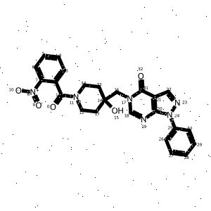 O=C(c1ccccc1[N+](=O)[O-])N1CCC(O)(Cn2cnc3c(cnn3-c3ccccc3)c2=O)CC1